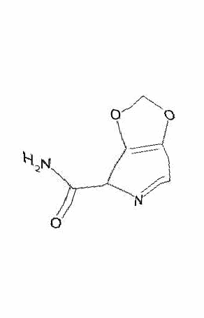 NC(=O)C1N=CC2=C1OCO2